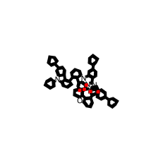 C1=CCC(c2ccc(-c3nc(-c4ccc(-c5ccccc5)cc4-n4c5ccccc5c5c(-c6cccc7c6c6ccc(-c8ccccc8)cc6n7-c6ccccc6)cccc54)nc(-c4cccc5oc6cccc(-c7ccccc7)c6c45)n3)cc2)C=C1